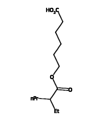 CCCC(CC)C(=O)OCCCCCC(=O)O